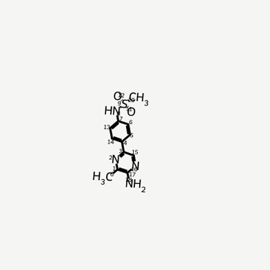 Cc1nc(-c2ccc(NS(C)(=O)=O)cc2)cnc1N